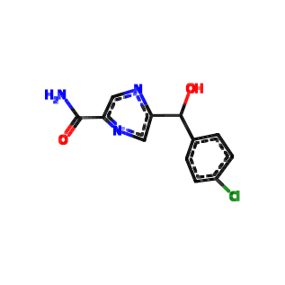 NC(=O)c1cnc(C(O)c2ccc(Cl)cc2)cn1